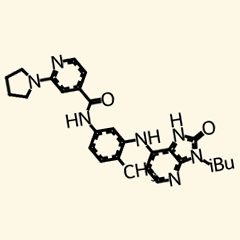 CCC(C)n1c(=O)[nH]c2c(Nc3cc(NC(=O)c4ccnc(N5CCCC5)c4)ccc3C)ccnc21